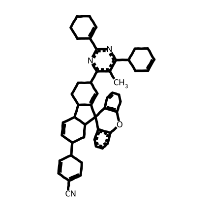 Cc1c(C2C=C3C(CC2)C2C=CC(C4C=CC(C#N)=CC4)CC2C32C3=C(CCC=C3)Oc3ccccc32)nc(C2=CCCCC2)nc1C1CC=CCC1